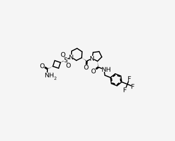 NC(=O)[C@H]1C[C@@H](S(=O)(=O)N2CCC[C@H](C(=O)N3CCC[C@@H]3C(=O)NCc3ccc(C(F)(F)F)cc3)C2)C1